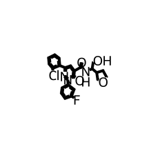 O=C(NC(CO)C1CCOC1)c1cc(-c2ccccc2Cl)nn(-c2cccc(F)c2)c1=O